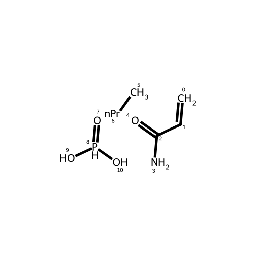 C=CC(N)=O.CCCC.O=[PH](O)O